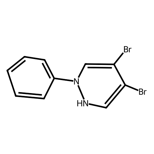 BrC1=CNN(c2ccccc2)C=C1Br